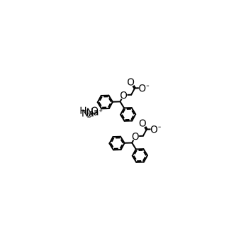 O.O=C([O-])COC(c1ccccc1)c1ccccc1.O=C([O-])COC(c1ccccc1)c1ccccc1.[Na+].[Na+]